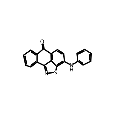 O=C1c2ccccc2-c2nsc3c(Nc4ccccc4)ccc1c23